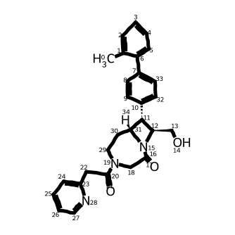 Cc1ccccc1-c1ccc([C@@H]2[C@@H](CO)N3C(=O)CN(C(=O)Cc4ccccn4)CC[C@@H]23)cc1